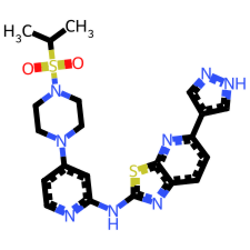 CC(C)S(=O)(=O)N1CCN(c2ccnc(Nc3nc4ccc(-c5cn[nH]c5)nc4s3)c2)CC1